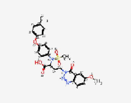 COc1ccc2nnn(CCC(C(=O)O)N(c3ccc(Oc4ccc(C)cc4)cc3)S(C)(=O)=O)c(=O)c2c1